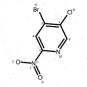 O=[N+]([O-])c1cc(Br)c(Cl)cn1